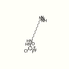 O=C(NCCCCCCCCCCCCc1nnn[nH]1)Nc1cc(Cl)cc(C(F)(F)F)c1